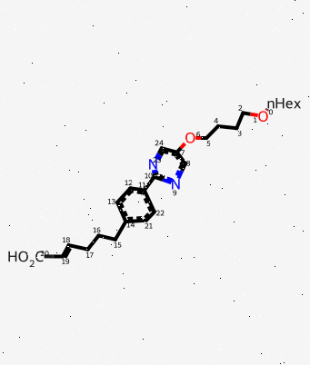 CCCCCCOCCCCOc1cnc(-c2ccc(CCC/C=C/C(=O)O)cc2)nc1